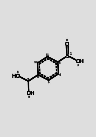 O=S(O)c1ccc(C(O)O)cc1